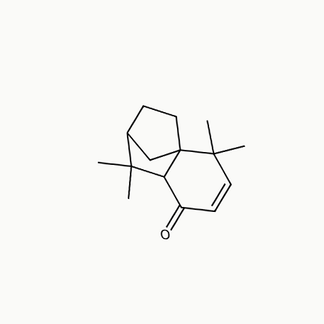 CC1(C)C2CCC3(C2)C1C(=O)C=CC3(C)C